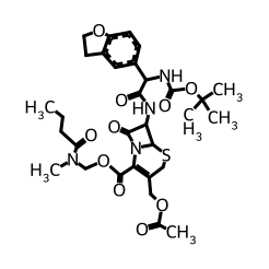 CCCC(=O)N(C)COC(=O)C1=C(COC(C)=O)CSC2C(NC(=O)C(NC(=O)OC(C)(C)C)c3ccc4c(c3)CCO4)C(=O)N12